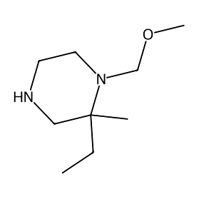 CCC1(C)CNCCN1COC